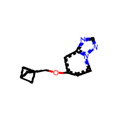 c1nc2cc(OCC34CC(C3)C4)ccn2n1